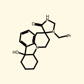 CC(C)CN1CNC(=O)C12CCN(C1CCCCC1(O)c1ccccc1)CC2